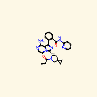 C=CC(=O)N1CC2(CC2)C[C@H]1c1nc(-c2ccccc2C(=O)Nc2ccccn2)c2c(N)nccn12